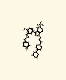 CS(=O)(=O)N1CCc2c(c(-c3ccc(C(F)(F)F)c(CNCc4ccc(F)cc4)c3)nn2CCCN2CCC(C3CCCCC3)CC2)C1